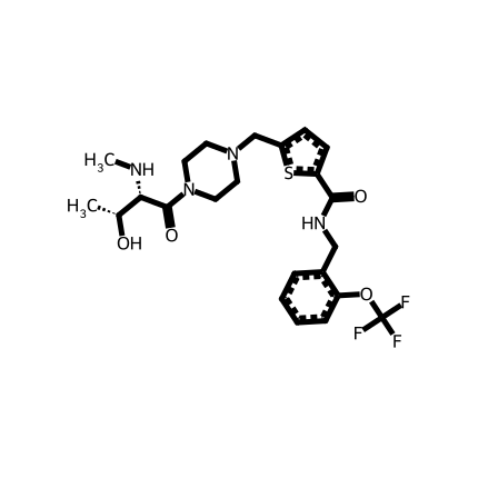 CN[C@H](C(=O)N1CCN(Cc2ccc(C(=O)NCc3ccccc3OC(F)(F)F)s2)CC1)[C@@H](C)O